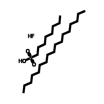 CCCCCCCCCCCCCCCCC.CCCCCCCCS(=O)(=O)O.F